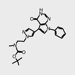 CN(CCn1cc(-c2cn(-c3ccccc3)c3nc[nH]c(=O)c23)cn1)C(=O)OC(C)(C)C